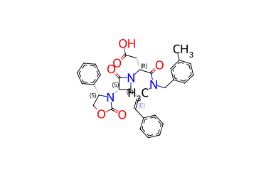 Cc1cccc(CN(C)C(=O)[C@@H](CC(=O)O)N2C(=O)[C@@H](N3C(=O)OC[C@@H]3c3ccccc3)[C@H]2/C=C/c2ccccc2)c1